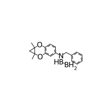 BBN(Cc1ccccc1)c1ccc2c(c1)OC1(C)CC1(C)O2